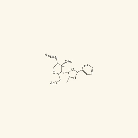 CC(=O)OCC1OCC(N=[N+]=[N-])[C@@H](OC(C)=O)[C@@H]1C1OC(c2ccccc2)OC1C